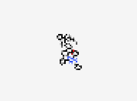 CC1(C)c2ccccc2-c2ccc3c(ccc4ccc5cc(-c6ccccc6-c6nc(-c7ccccc7)nc(-c7ccccc7)n6)ccc5c43)c21